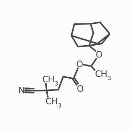 CC(OC(=O)CCC(C)(C)C#N)OC12CC3CC(CC(C3)C1)C2